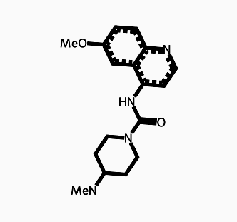 CNC1CCN(C(=O)Nc2ccnc3ccc(OC)cc23)CC1